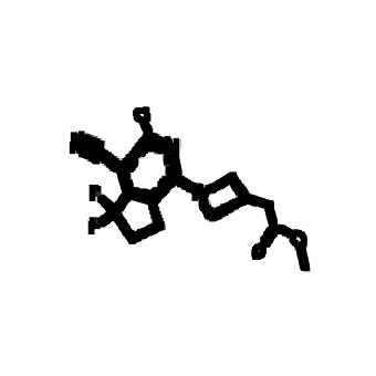 COC(=O)CC1CN(c2nc(Cl)c(C#N)c3c2CCC3(F)F)C1